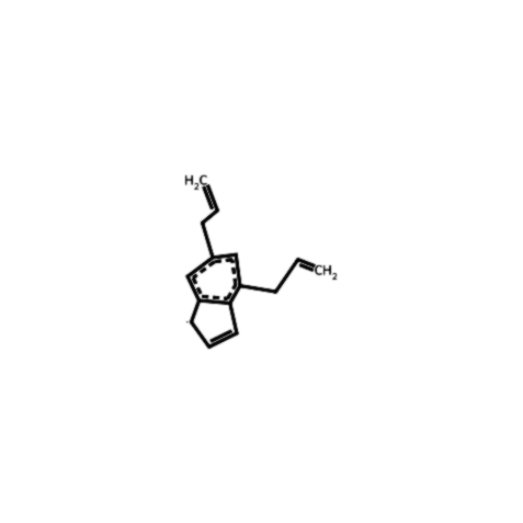 C=CCc1cc2c(c(CC=C)c1)C=C[CH]2